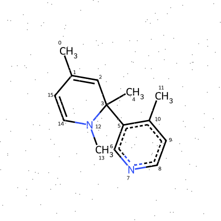 CC1=CC(C)(c2cnccc2C)N(C)C=C1